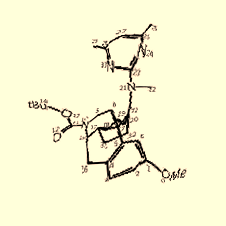 COc1ccc2c(c1)C13CCN(C(=O)OC(C)(C)C)C(C2)C12CCC(N(C)c1nc(C)cc(C)n1)C3CC2